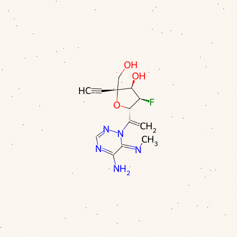 C#C[C@]1(CO)O[C@@H](C(=C)n2ncnc(N)/c2=N/C)[C@H](F)[C@@H]1O